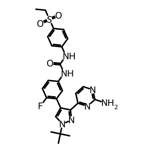 CCS(=O)(=O)c1ccc(NC(=O)Nc2ccc(F)c(-c3cn(C(C)(C)C)nc3-c3ccnc(N)n3)c2)cc1